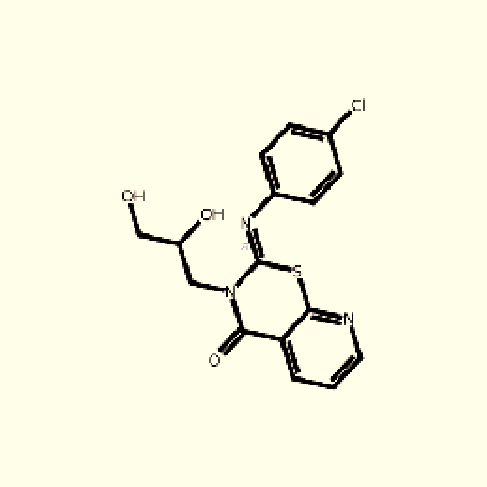 O=c1c2cccnc2s/c(=N\c2ccc(Cl)cc2)n1CC(O)CO